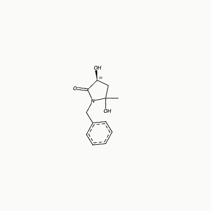 CC1(O)C[C@H](O)C(=O)N1Cc1ccccc1